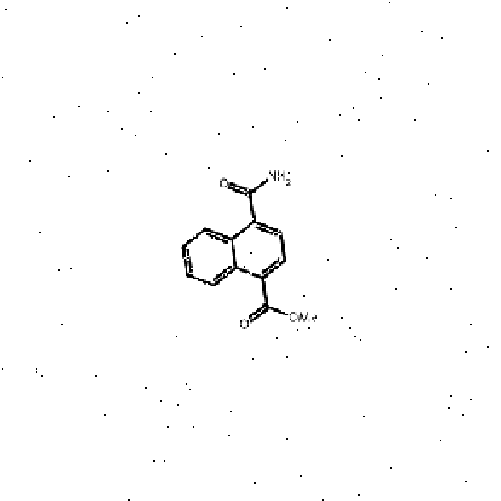 COC(=O)c1ccc(C(N)=O)c2ccccc12